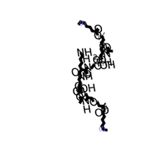 C/C=C\CCCC(=O)O[C@H](C)CCOCC(COP(=O)(O)OCCNC(=O)C(CCCCN)C(=O)NCCOP(=O)(O)OCC(COCC[C@@H](C)OC(=O)CCC/C=C\C)NC(C)=O)NC(C)=O